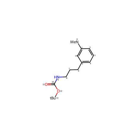 CNc1cccc(CCCNC(=O)OC(C)(C)C)c1